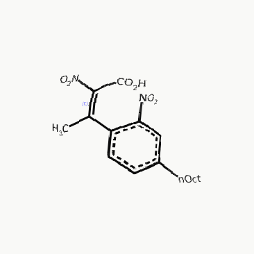 CCCCCCCCc1ccc(/C(C)=C(\C(=O)O)[N+](=O)[O-])c([N+](=O)[O-])c1